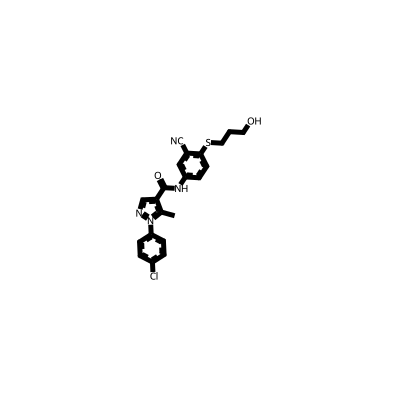 Cc1c(C(=O)Nc2ccc(SCCCO)c(C#N)c2)cnn1-c1ccc(Cl)cc1